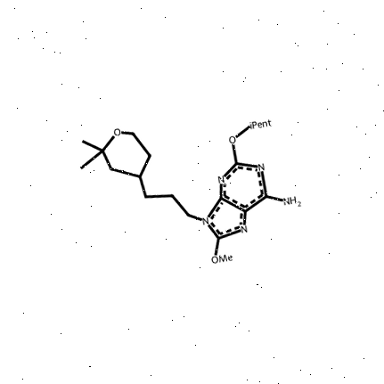 CCCC(C)Oc1nc(N)c2nc(OC)n(CCCC3CCOC(C)(C)C3)c2n1